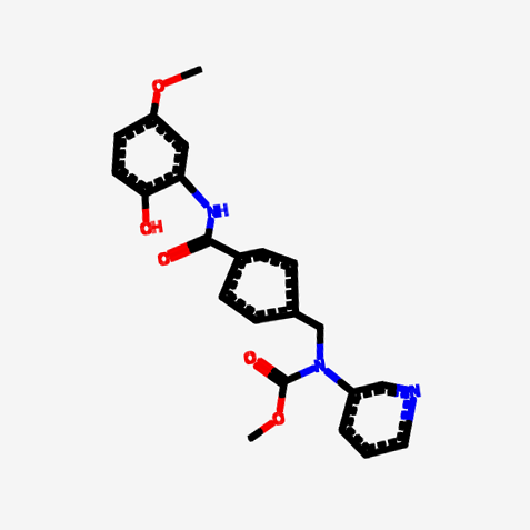 COC(=O)N(Cc1ccc(C(=O)Nc2cc(OC)ccc2O)cc1)c1cccnc1